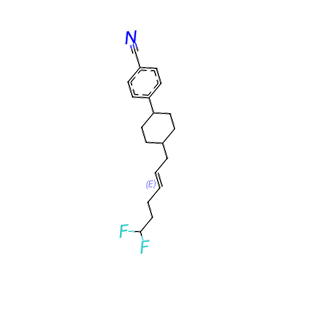 N#Cc1ccc(C2CCC(C/C=C/CCC(F)F)CC2)cc1